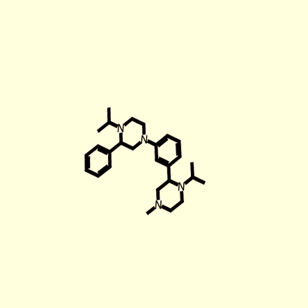 CC(C)N1CCN(C)CC1c1cccc(N2CCN(C(C)C)C(c3ccccc3)C2)c1